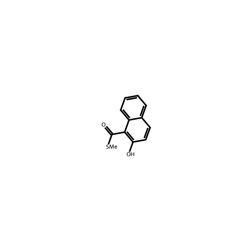 CSC(=O)c1c(O)ccc2ccccc12